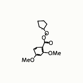 COc1ccc(C(=O)OO[C]2CCCC2)c(OC)c1